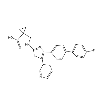 O=C(O)C1(CNc2nc(-c3ccc(-c4ccc(F)cc4)cc3)c(C3C=NC=CC3)s2)CC1